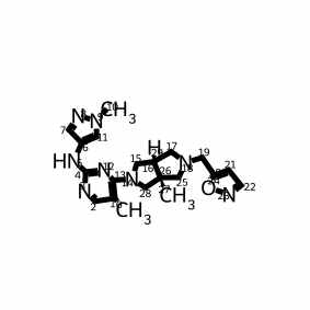 Cc1cnc(Nc2cnn(C)c2)nc1N1C[C@@H]2CN(Cc3ccno3)C[C@]2(C)C1